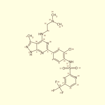 Cc1n[nH]c2nc(-c3ccc(NS(=O)(=O)c4cc(C(F)(F)F)ccn4)c(Cl)c3)nc(NCCN(C)C)c12